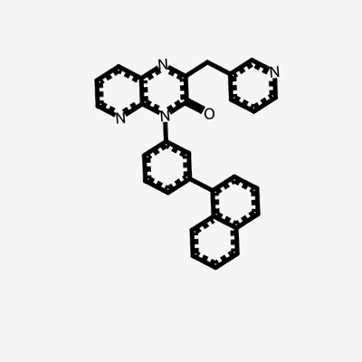 O=c1c(Cc2cccnc2)nc2cccnc2n1-c1cccc(-c2cccc3ccccc23)c1